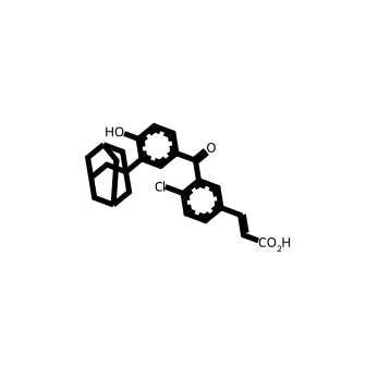 O=C(O)/C=C/c1ccc(Cl)c(C(=O)c2ccc(O)c(C34CC5CC(CC(C5)C3)C4)c2)c1